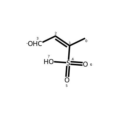 CC(=C[C]=O)S(=O)(=O)O